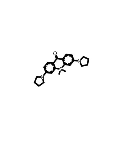 CS1(C)c2cc(N3CCCC3)ccc2C(=O)c2ccc(N3CCCC3)cc21